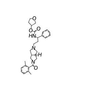 Cc1cccc(C)c1C(=O)N1CC2CN(CCC(NC(=O)OC3CCOC3)c3ccccc3)C[C@H]2C1